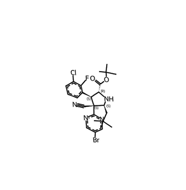 CC(C)(C)C[C@@H]1N[C@@H](C(=O)OC(C)(C)C)[C@H](c2cccc(Cl)c2F)[C@@]1(C#N)c1ncc(Br)cn1